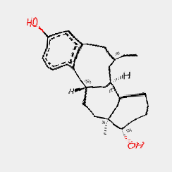 C[C@@H]1Cc2cc(O)ccc2[C@H]2CC[C@@]3(C)C(CC[C@@H]3O)[C@H]12